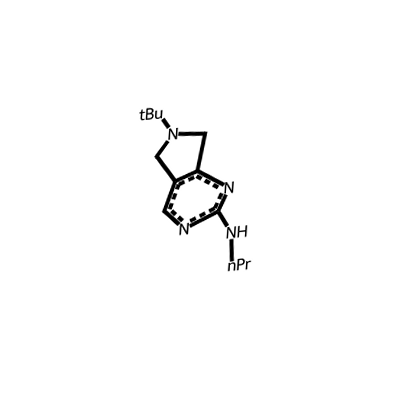 CCCNc1ncc2c(n1)CN(C(C)(C)C)C2